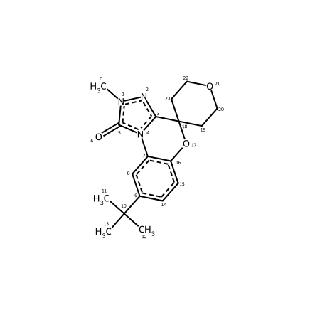 Cn1nc2n(c1=O)-c1cc(C(C)(C)C)ccc1OC21CCOCC1